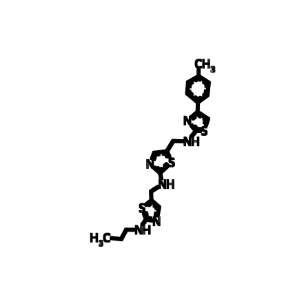 CCCNc1ncc(CNc2ncc(CNc3nc(-c4ccc(C)cc4)cs3)s2)s1